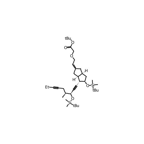 CCC#CC[C@H](C)[C@@H](C#C[C@@H]1[C@H]2C/C(=C/COCC(=O)OC(C)(C)C)C[C@H]2C[C@H]1O[Si](C)(C)C(C)(C)C)O[Si](C)(C)C(C)(C)C